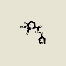 O=C(NNc1cccnc1)[C@@H]1CC[C@@H]2CN1C(=O)N2O